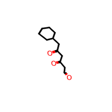 O=CCC(=O)CC(=O)CC1CCCCC1